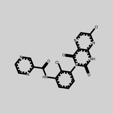 O=C(Nc1cccc(-n2c(=O)[nH]c3nc(Cl)cnc3c2=O)c1Cl)c1cnccn1